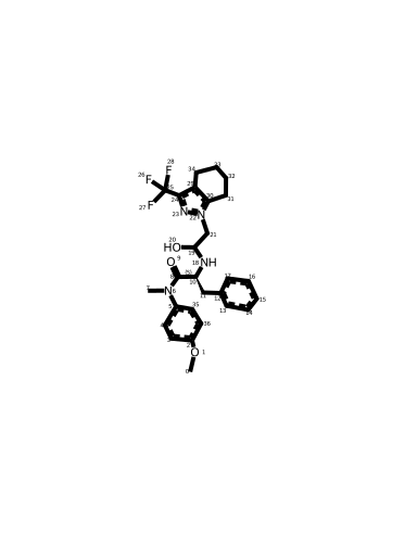 COc1ccc(N(C)C(=O)[C@H](Cc2ccccc2)NC(O)Cn2nc(C(F)(F)F)c3c2CCCC3)cc1